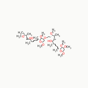 CC[C@H](OC)[C@@H](C)[C@@H]1C=C1[C@H](O)[C@@H](C)/C=C/C=C(\C)[C@H]1O[C@@H](OC)C[C@H](OCCC[C@H](OC)[C@@H](C)[C@@H]2C[C@H]2[C@H](O)[C@@H](C)/C=C/C=C(\C)[C@H]2O[C@@H](OC)C[C@H](OC)[C@H]2OC)[C@@H]1OC